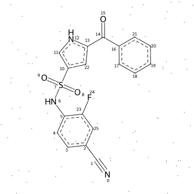 N#Cc1ccc(NS(=O)(=O)c2c[nH]c(C(=O)c3ccccc3)c2)c(F)c1